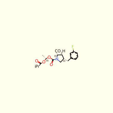 CC(C)C(=O)O[C@H](C)OC(=O)N1C[C@@H](Cc2cccc(F)c2)C[C@H]1C(=O)O